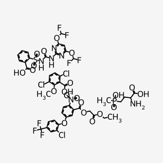 CCOC(=O)COC(=O)c1cc(Oc2ccc(C(F)(F)F)cc2Cl)ccc1[N+](=O)[O-].COc1c(Cl)ccc(Cl)c1C(=O)O.CP(=O)(O)CCC(N)C(=O)O.O=C(Nc1nc(OC(F)F)cc(OC(F)F)n1)NS(=O)(=O)c1ccccc1C(=O)O